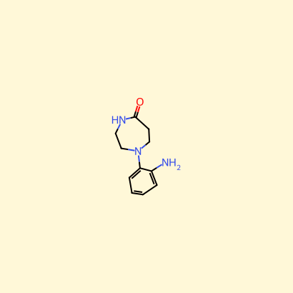 Nc1ccccc1N1CCNC(=O)CC1